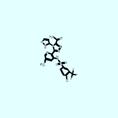 Cc1cnc(-c2nnc(C(N)=O)n2C2C=CON2)c(NS(=O)(=O)c2ccc(Cl)c(C(F)(F)F)c2)c1